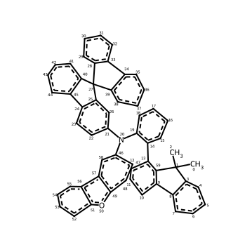 CC1(C)c2ccccc2-c2cccc(-c3ccccc3N(c3ccc4c(c3)C3(c5ccccc5-c5ccccc53)c3ccccc3-4)c3ccc4oc5ccccc5c4c3)c21